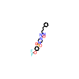 O=S(=O)(c1ccc(OC(F)F)cc1)N1CCN(c2nc(CCCc3ccccc3)no2)CC1